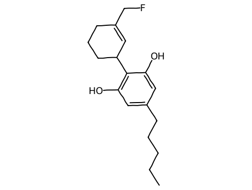 CCCCCc1cc(O)c(C2C=C(CF)CCC2)c(O)c1